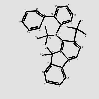 CC(C)(C)c1ccc2c(c1N(c1ccccc1-c1ccccc1)C(C)(C)C)C(C)(C)c1ccccc1-2